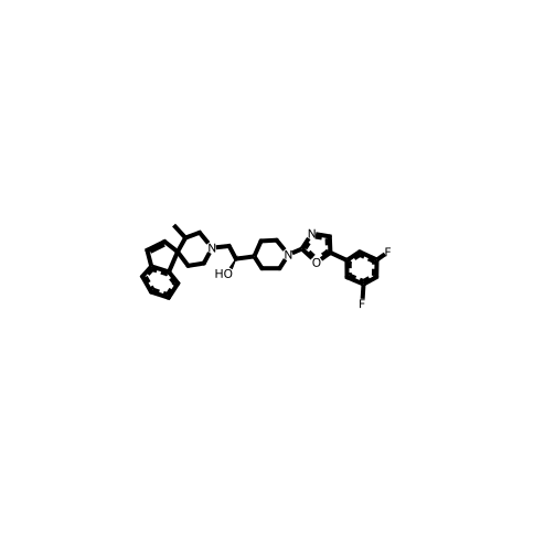 CC1CN(C[C@H](O)C2CCN(c3ncc(-c4cc(F)cc(F)c4)o3)CC2)CCC12C=Cc1ccccc12